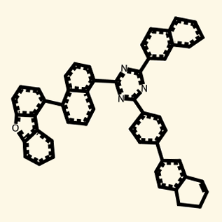 C1=Cc2cc(-c3ccc(-c4nc(-c5ccc6ccccc6c5)nc(-c5cccc6c(-c7cccc8oc9ccccc9c78)cccc56)n4)cc3)ccc2CC1